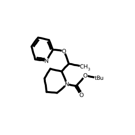 CC(Oc1ccccn1)C1CCCCN1C(=O)OC(C)(C)C